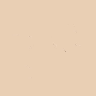 CCCCc1cn(CCN2CCC2)c(C2CCN(c3ncnc4c3C(C)CC(=O)N4)CC2)n1